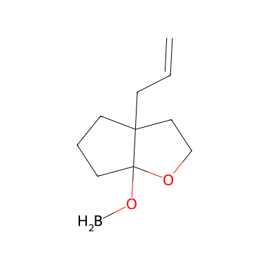 BOC12CCCC1(CC=C)CCO2